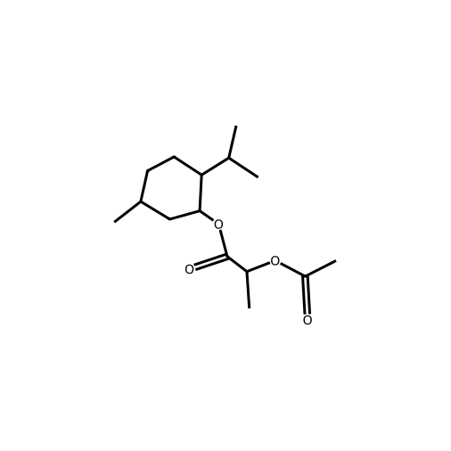 CC(=O)OC(C)C(=O)OC1CC(C)CCC1C(C)C